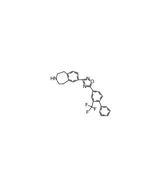 FC(F)(F)c1cc(-c2nc(-c3ccc4c(c3)CCNCC4)no2)ccc1-c1ccccc1